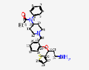 CCC(=O)N(c1ccccc1)C1CCN(Cc2ccccc2OC(CCN)c2cccs2)CC1